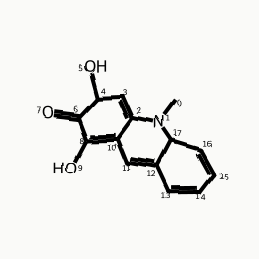 CN1C2=CC(O)C(=O)C(O)=C2C=C2C=CC=CC21